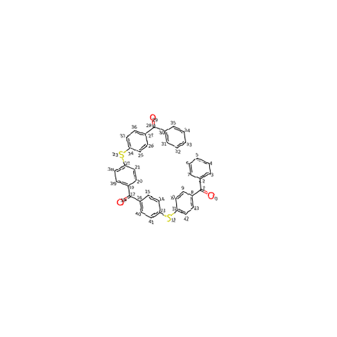 O=C(c1ccccc1)c1ccc(Sc2ccc(C(=O)c3ccc(Sc4ccc(C(=O)c5ccccc5)cc4)cc3)cc2)cc1